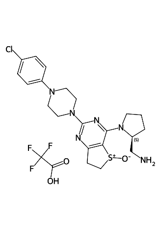 NC[C@@H]1CCCN1c1nc(N2CCN(c3ccc(Cl)cc3)CC2)nc2c1[S+]([O-])CC2.O=C(O)C(F)(F)F